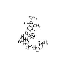 C=CCOC(=O)c1ccc2c(c1C)CC[C@@H]2NC(=O)c1cc(C(=O)NCc2ccc3c(c2)C(=O)N(C)CC3)nc2ncnn12